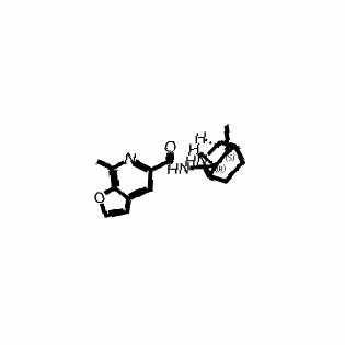 Cc1nc(C(=O)N[C@H]2C3CCC(CN3)[C@@H]2C)cc2ccoc12